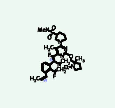 C=N/C(=C(/F)c1nc(OCC2(C)CCCN2CC)nc(N2CCCC(S(=O)(=O)NC)C2)c1C)c1cccc(/C=C\C)c1C(=C)F